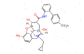 O=C(Nc1ccccc1-c1ccc(C(=O)O)cc1)C1=C(O)[C@@H]2Oc3c(O)ccc4c3[C@@]23CCN(CC2CC2)[C@H](C4)[C@]3(O)C1